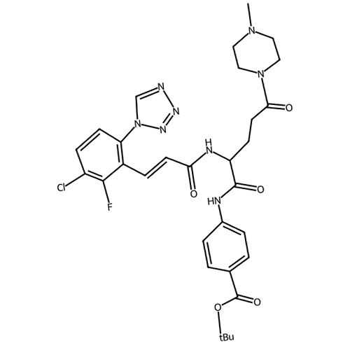 CN1CCN(C(=O)CCC(NC(=O)/C=C/c2c(-n3cnnn3)ccc(Cl)c2F)C(=O)Nc2ccc(C(=O)OC(C)(C)C)cc2)CC1